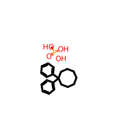 O=P(O)(O)O.c1ccc(C2(c3ccccc3)CCCCCCC2)cc1